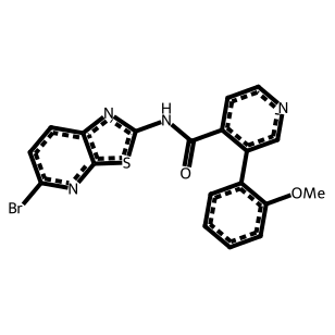 COc1ccccc1-c1cnccc1C(=O)Nc1nc2ccc(Br)nc2s1